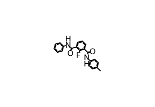 Cc1ccc(NC(=O)c2cccc(C(=O)Nc3ccccc3)c2F)cc1